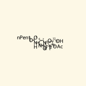 CCCCCOC(=O)Nc1ccn([C@@H]2O[C@H](CO)[C@@H](OC(C)=O)C2(F)F)c(=O)n1